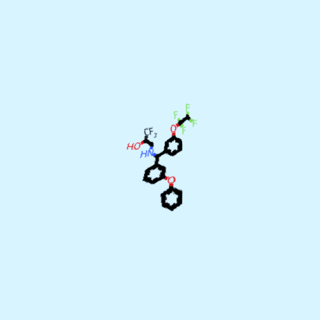 OC(CNC(c1cccc(Oc2ccccc2)c1)c1cccc(OC(F)(F)C(F)F)c1)C(F)(F)F